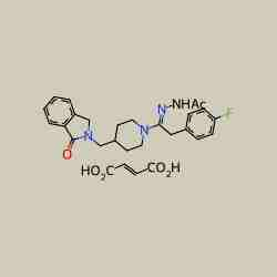 CC(=O)NN=C(Cc1ccc(F)cc1)N1CCC(CN2Cc3ccccc3C2=O)CC1.O=C(O)C=CC(=O)O